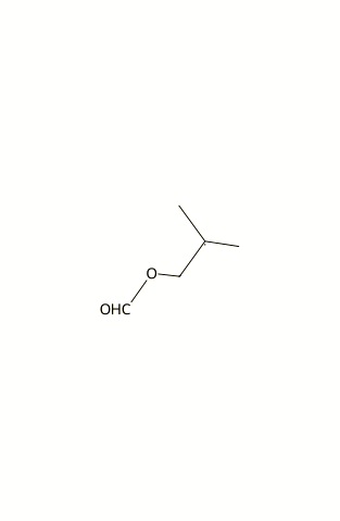 C[C](C)COC=O